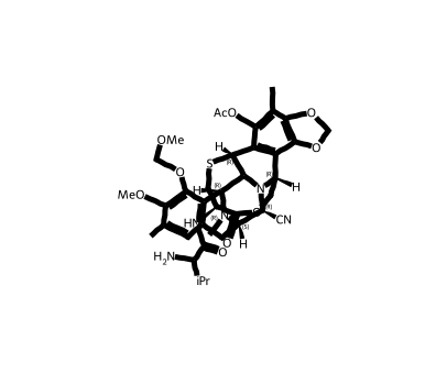 COCOc1c(OC)c(C)cc2c1[C@@H]1C3[C@@H]4SC[C@H](NC(=O)C(N)C(C)C)C(=O)OC[C@@H](c5c6c(c(C)c(OC(C)=O)c54)OCO6)N3[C@@H](C#N)[C@H](C2)N1C